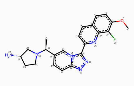 COc1ccc2ccc(-c3nnc4ccc([C@H](C)N5CC[C@H](N)C5)cn34)nc2c1F